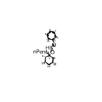 CCCCCC1(OBOc2ccccc2)CCCCC1